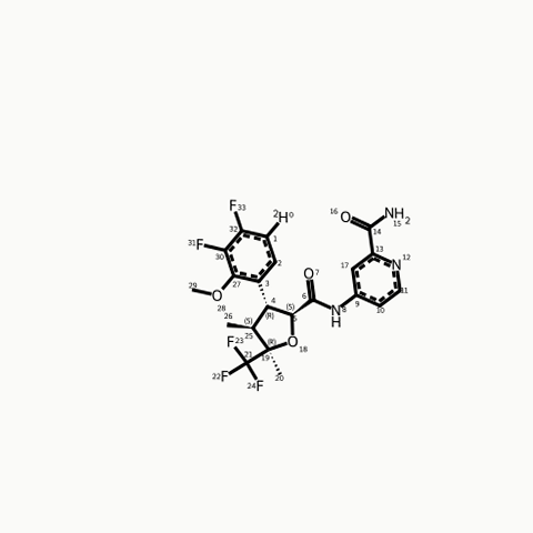 [2H]c1cc([C@@H]2[C@@H](C(=O)Nc3ccnc(C(N)=O)c3)O[C@@](C)(C(F)(F)F)[C@H]2C)c(OC)c(F)c1F